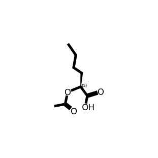 CCCC[C@H](OC(C)=O)C(=O)O